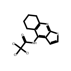 O=C(Nc1c2c(nc3sccc13)CCCC2)C(Cl)(Cl)Cl